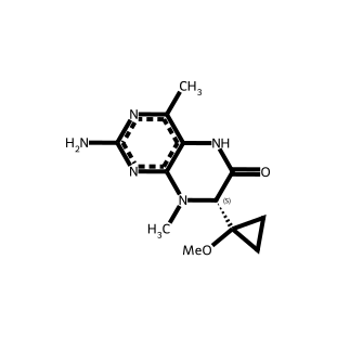 COC1([C@H]2C(=O)Nc3c(C)nc(N)nc3N2C)CC1